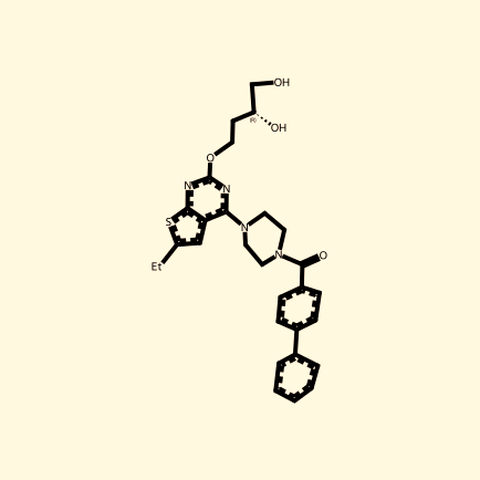 CCc1cc2c(N3CCN(C(=O)c4ccc(-c5ccccc5)cc4)CC3)nc(OCC[C@@H](O)CO)nc2s1